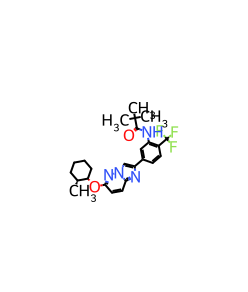 C[C@H]1CCCC[C@H]1Oc1ccc2nc(-c3ccc(C(F)(F)F)c(NC(=O)C(C)(C)C)c3)cn2n1